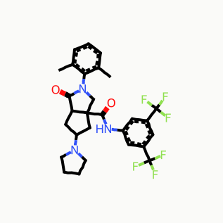 Cc1cccc(C)c1N1CC2(C(=O)Nc3cc(C(F)(F)F)cc(C(F)(F)F)c3)CC(N3CCCC3)CC2C1=O